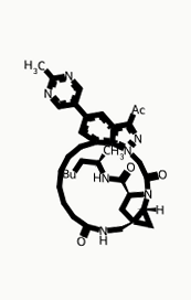 CC(=O)c1nn2c3c(cc(-c4cnc(C)nc4)cc13)CCCCCCC(=O)NC[C@@]13C[C@@H](C(=O)N[C@H](C)CC(C)(C)C)N(C(=O)C2)[C@@H]1C3